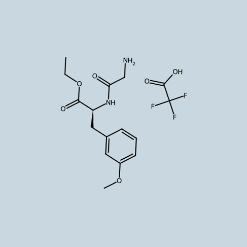 CCOC(=O)[C@H](Cc1cccc(OC)c1)NC(=O)CN.O=C(O)C(F)(F)F